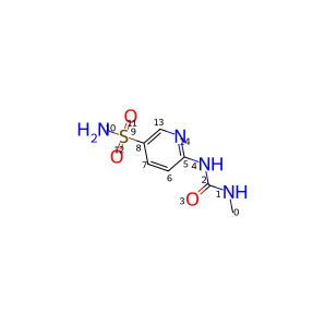 CNC(=O)Nc1ccc(S(N)(=O)=O)cn1